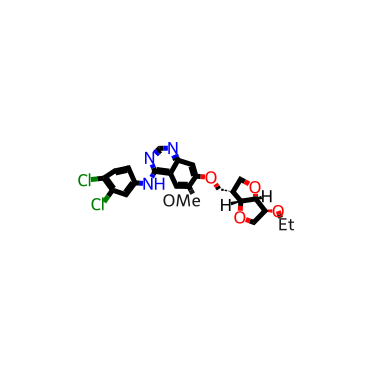 CCO[C@H]1CO[C@@H]2[C@H](COc3cc4ncnc(Nc5ccc(Cl)c(Cl)c5)c4cc3OC)CO[C@@H]21